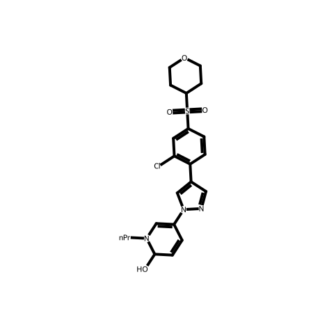 CCCN1C=C(n2cc(-c3ccc(S(=O)(=O)C4CCOCC4)cc3Cl)cn2)C=CC1O